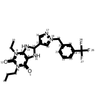 CCCn1c(=O)c2c(n(CC)c1=O)NC(c1cnn(Cc3cccc(C(F)(F)F)c3)c1)N2